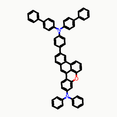 c1ccc(-c2ccc(N(c3ccc(-c4ccccc4)cc3)c3ccc(-c4ccc5cc6c7c(cccc7c5c4)Oc4cc(N(c5ccccc5)c5ccccc5)ccc4-6)cc3)cc2)cc1